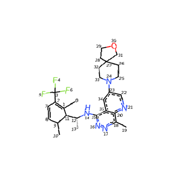 CC1=C(C(F)(F)F)C=CC(C)C1[C@@H](C)Nc1nnc(C)c2ncc(N3CCC4(CCOC4)CC3)cc12